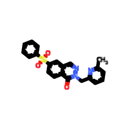 Cc1cccc(Cn2ncc3cc(S(=O)(=O)c4ccccc4)ccc3c2=O)n1